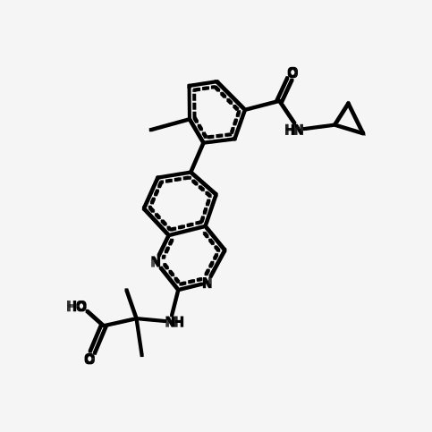 Cc1ccc(C(=O)NC2CC2)cc1-c1ccc2nc(NC(C)(C)C(=O)O)ncc2c1